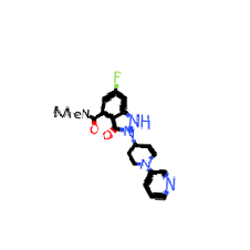 CNC(=O)c1cc(F)cc2[nH]n(C3CCN(c4cccnc4)CC3)c(=O)c12